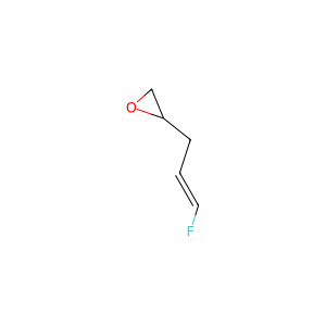 FC=CCC1CO1